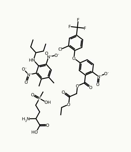 CCC(CC)Nc1c([N+](=O)[O-])cc(C)c(C)c1[N+](=O)[O-].CCOC(=O)COC(=O)c1cc(Oc2ccc(C(F)(F)F)cc2Cl)ccc1[N+](=O)[O-].CP(=O)(O)CCC(N)C(=O)O